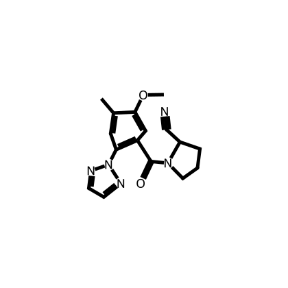 COc1cc(C(=O)N2CCCC2C#N)c(-n2nccn2)cc1C